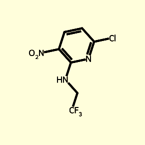 O=[N+]([O-])c1ccc(Cl)nc1NCC(F)(F)F